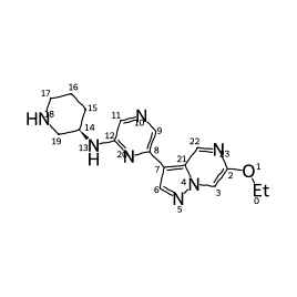 CCOc1cn2ncc(-c3cncc(N[C@@H]4CCCNC4)n3)c2cn1